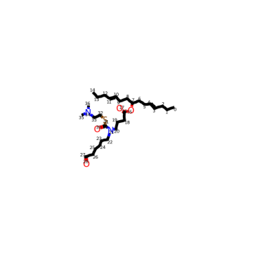 CCC/C=C/CCC(CC/C=C/CCC)OC(=O)CCCN(CCCCCC=O)C(=O)SCCN(C)C